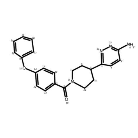 Nc1ccc(C2CCN(C(=O)c3ccc(Oc4ccccc4)cc3)CC2)nn1